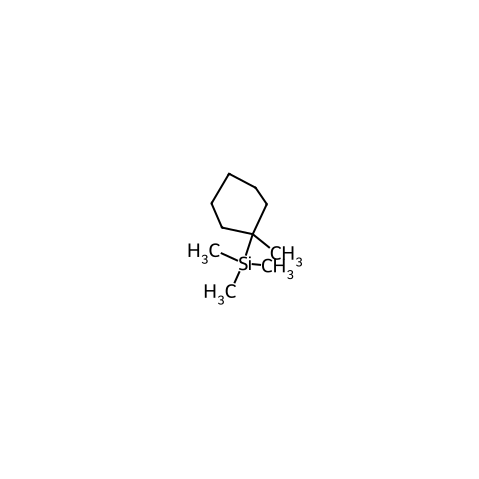 CC1([Si](C)(C)C)CCCCC1